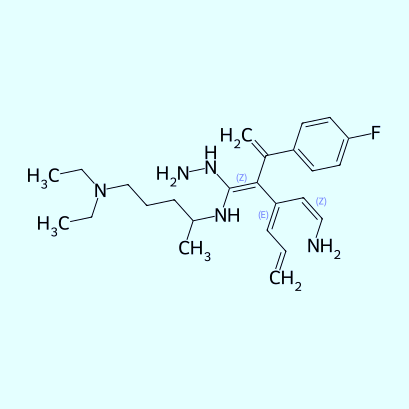 C=C/C=C(\C=C/N)C(/C(=C)c1ccc(F)cc1)=C(/NN)NC(C)CCCN(CC)CC